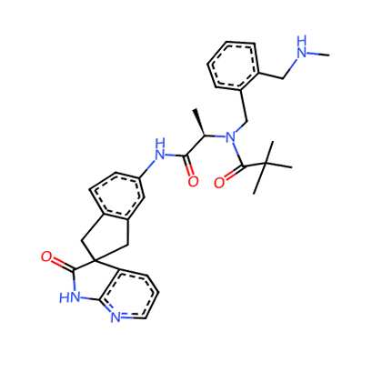 CNCc1ccccc1CN(C(=O)C(C)(C)C)[C@H](C)C(=O)Nc1ccc2c(c1)CC1(C2)C(=O)Nc2ncccc21